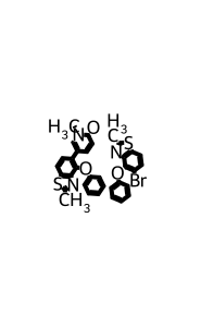 Cc1nc2c(Oc3ccccc3)c(-c3ccc(=O)n(C)c3)ccc2s1.Cc1nc2c(Oc3ccccc3)c(Br)ccc2s1